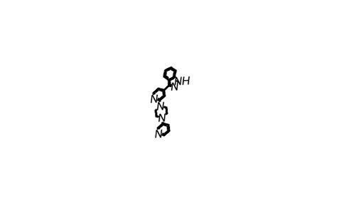 c1cncc(N2CCN(c3cc(-c4n[nH]c5ccccc45)ccn3)CC2)c1